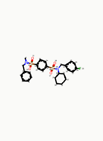 CN(Cc1ccccc1)S(=O)(=O)c1ccc(S(=O)(=O)N(Cc2ccc(F)cc2)C2CCCCC2)cc1